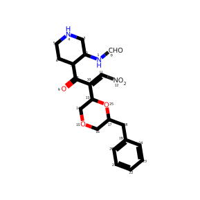 O=CNC1CNCCC1C(=O)/C(=C/[N+](=O)[O-])C1COCC(Cc2ccccc2)O1